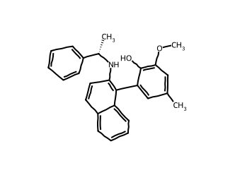 COc1cc(C)cc(-c2c(N[C@@H](C)c3ccccc3)ccc3ccccc23)c1O